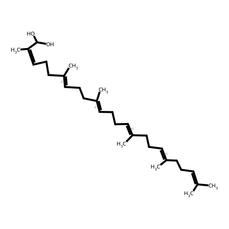 CC(C)=CCC/C(C)=C/CC/C(C)=C/CC/C=C(\C)CC/C=C(\C)CCC=C(C)C(O)O